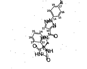 O=C1NC(=O)[C@](CNC(=O)c2cnn(-c3ccc(F)cc3)n2)(c2ccccc2)N1